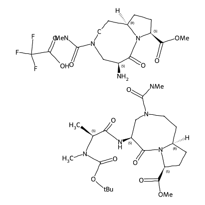 CNC(=O)N1CC[C@H]2CC[C@@H](C(=O)OC)N2C(=O)[C@@H](N)C1.CNC(=O)N1CC[C@H]2CC[C@@H](C(=O)OC)N2C(=O)[C@@H](NC(=O)[C@H](C)N(C)C(=O)OC(C)(C)C)C1.O=C(O)C(F)(F)F